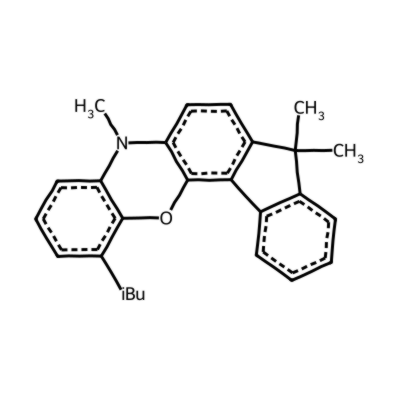 CCC(C)c1cccc2c1Oc1c(ccc3c1-c1ccccc1C3(C)C)N2C